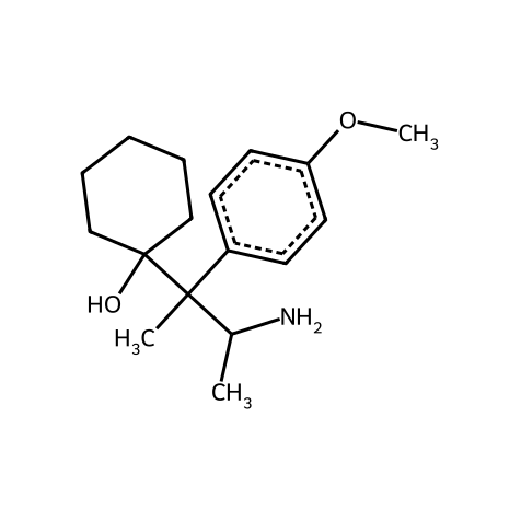 COc1ccc(C(C)(C(C)N)C2(O)CCCCC2)cc1